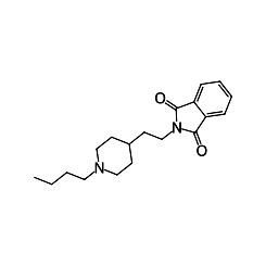 CCCCN1CCC(CCN2C(=O)c3ccccc3C2=O)CC1